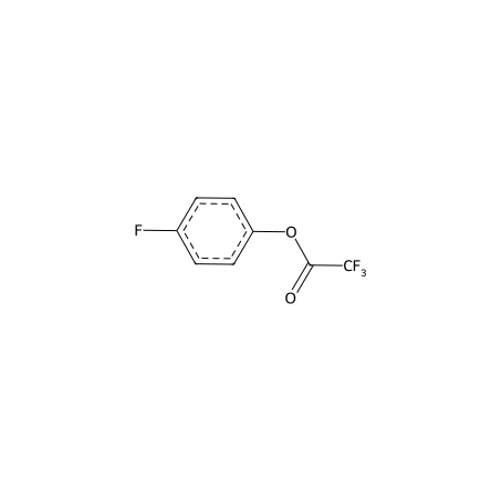 O=C(Oc1ccc(F)cc1)C(F)(F)F